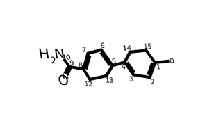 CC1=CC=C(C2=CC=C(C(N)=O)CC2)CC1